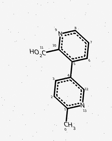 Cc1ccc(-c2cccnc2C(=O)O)cn1